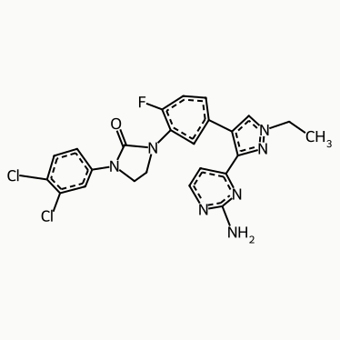 CCn1cc(-c2ccc(F)c(N3CCN(c4ccc(Cl)c(Cl)c4)C3=O)c2)c(-c2ccnc(N)n2)n1